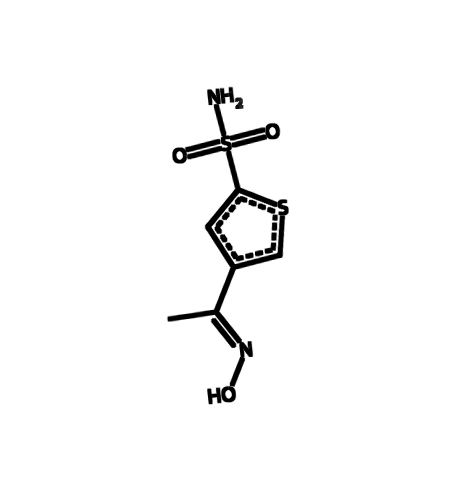 CC(=NO)c1csc(S(N)(=O)=O)c1